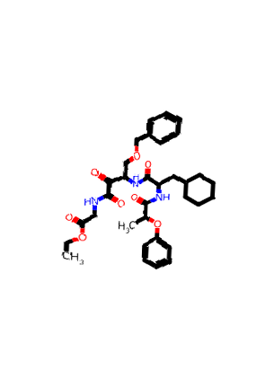 CCOC(=O)CNC(=O)C(=O)C(COCc1ccccc1)NC(=O)C(CC1CCCCC1)NC(=O)C(C)Oc1ccccc1